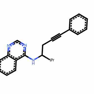 CC(C)C(CC#Cc1ccccc1)Nc1ncnc2ccccc12